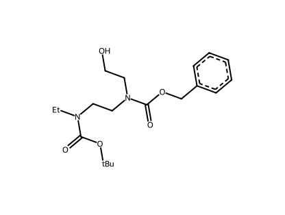 CCN(CCN(CCO)C(=O)OCc1ccccc1)C(=O)OC(C)(C)C